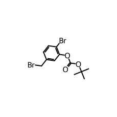 CC(C)(C)OC(=O)Oc1cc(CBr)ccc1Br